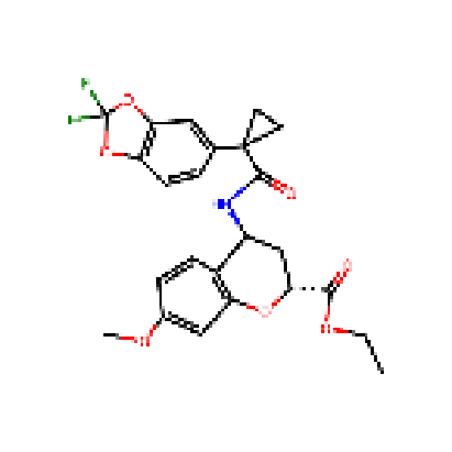 CCOC(=O)[C@H]1C[C@H](NC(=O)C2(c3ccc4c(c3)OC(F)(F)O4)CC2)c2ccc(OC)cc2O1